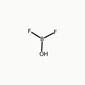 OB(F)F